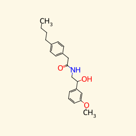 CCCCc1ccc(CC(=O)NCC(O)c2cccc(OC)c2)cc1